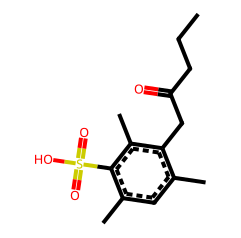 CCCC(=O)Cc1c(C)cc(C)c(S(=O)(=O)O)c1C